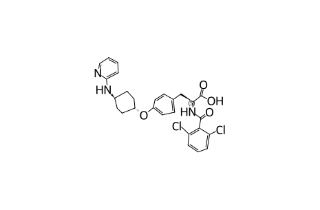 O=C(N[C@@H](Cc1ccc(O[C@H]2CC[C@H](Nc3ccccn3)CC2)cc1)C(=O)O)c1c(Cl)cccc1Cl